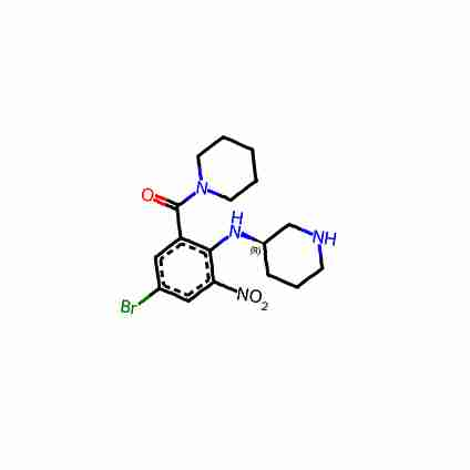 O=C(c1cc(Br)cc([N+](=O)[O-])c1N[C@@H]1CCCNC1)N1CCCCC1